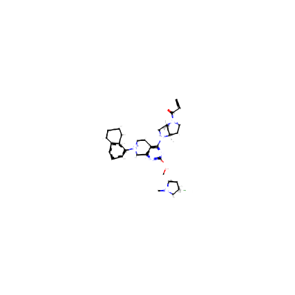 C=CC(=O)N1CC[C@@H]2[C@H]1CN2c1nc(OC[C@@H]2C[C@@H](F)CN2C)nc2c1CCN(c1cccc3c1CCCC3)C2